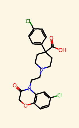 O=C1COc2ccc(Cl)cc2N1CCN1CCC(C(=O)O)(c2ccc(Cl)cc2)CC1